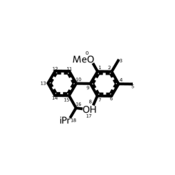 COc1c(C)c(C)cc(C)c1-c1ccccc1C(O)C(C)C